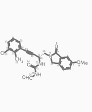 COc1ccc2c(c1)C(=O)N(C[C@@H](C#Cc1cccc(Cl)c1C)NC(=O)NC=O)C2